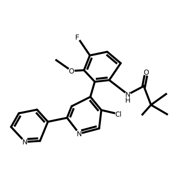 COc1c(F)ccc(NC(=O)C(C)(C)C)c1-c1cc(-c2cccnc2)ncc1Cl